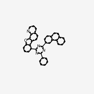 c1ccc(-c2nc(-c3ccc4ccc5ccccc5c4c3)nc(-c3cccc4oc5c(ccc6cccnc65)c34)n2)cc1